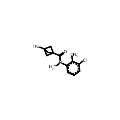 Cc1c(Cl)cccc1N(C)C(=O)C12CC(O)(C1)C2